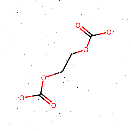 [O]C(=O)OCCOC([O])=O